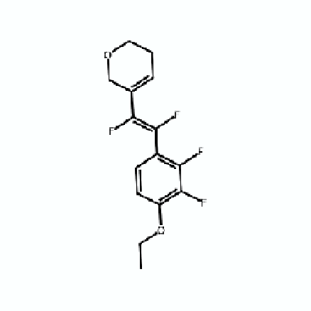 CCOc1ccc(/C(F)=C(\F)C2=CCCOC2)c(F)c1F